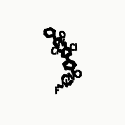 O=C(c1ccc(-c2cc(Cl)c(CN3CCC(C4CCCCC4)C3=O)c(Cl)c2)cc1)N1CCN(CCF)CC1